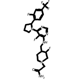 NC(=O)CN1CCC(CNc2ncnc(N3CCCC3c3ccc(C(F)(F)F)cc3F)c2F)C(F)C1